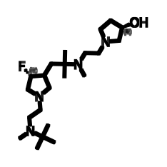 CN(CCN1CC(CC(C)(C)N(C)CCN2CC[C@@H](O)C2)[C@@H](F)C1)C(C)(C)C